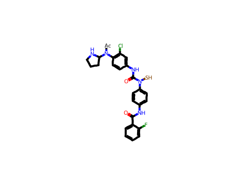 CC(=O)N(c1ccc(NC(=O)N(S)c2ccc(NC(=O)c3ccccc3F)cc2)cc1Cl)C1CCCN1